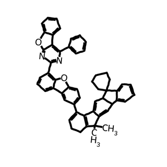 CC1(C)C2=CC3c4ccccc4C4(CCCCC4)C3C=C2C2=C1CCC=C2c1ccc2oc3c(-c4nc(-c5ccccc5)c5c(n4)oc4ccccc45)cccc3c2c1